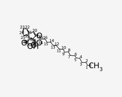 CCCCCCCCCCCCCCCCCCOc1cc2ccccc2c(C(=O)O)c1I(=O)=O